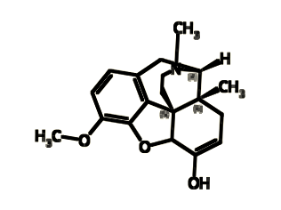 COc1ccc2c3c1OC1C(O)=CC[C@@]4(C)[C@@H](C2)N(C)CC[C@]314